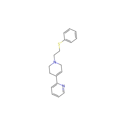 C1=C(c2ccccn2)CCN(CCSc2ccccc2)C1